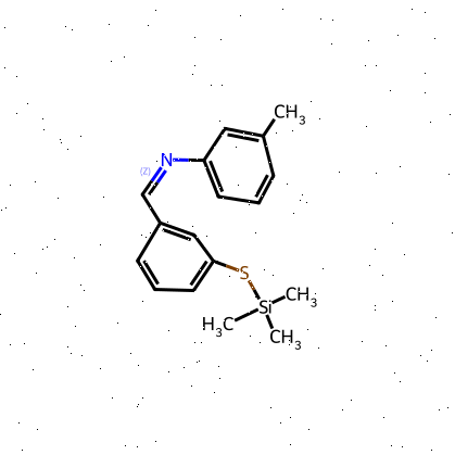 Cc1cccc(/N=C\c2cccc(S[Si](C)(C)C)c2)c1